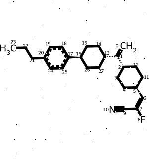 C=C([C@H]1CC[C@H](/C=C(/F)C#N)CC1)[C@H]1CC[C@H](c2ccc(CCC)cc2)CC1